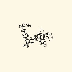 COC(=O)N1CC(N2CCC(c3nn(C(F)F)c4ccc(-c5nc6cc(C)c(C(OC(C)(C)C)C(=O)O)c(-c7ccc(Cl)cc7)c6s5)cc34)CC2)C1